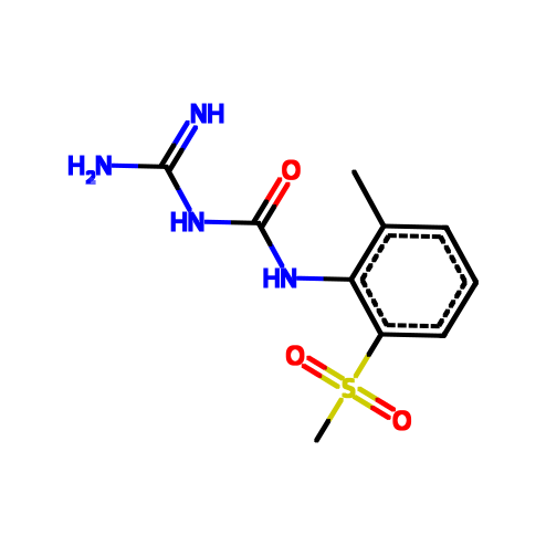 Cc1cccc(S(C)(=O)=O)c1NC(=O)NC(=N)N